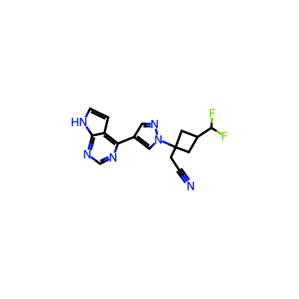 N#CCC1(n2cc(-c3ncnc4[nH]ccc34)cn2)CC(C(F)F)C1